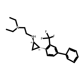 CCN(CC)CCN[C@@H]1C[C@H]1c1ccc(-c2ccccc2)cc1C(F)(F)F